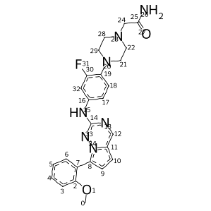 COc1ccccc1-c1ccc2cnc(Nc3ccc(N4CCN(CC(N)=O)CC4)c(F)c3)nn12